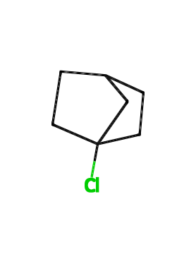 ClC12CCC(CC1)C2